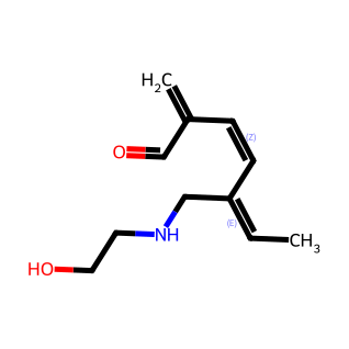 C=C(C=O)/C=C\C(=C/C)CNCCO